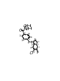 O=C(NO)c1ccc(Cn2ccc3cc(F)c(Cl)cc32)cc1